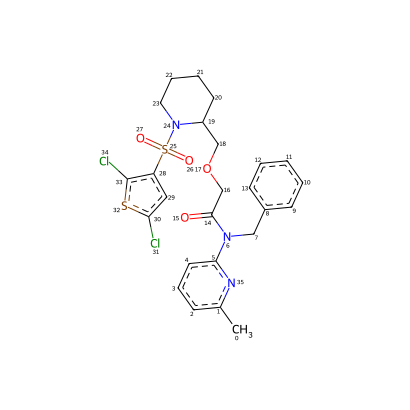 Cc1cccc(N(Cc2ccccc2)C(=O)COCC2CCCCN2S(=O)(=O)c2cc(Cl)sc2Cl)n1